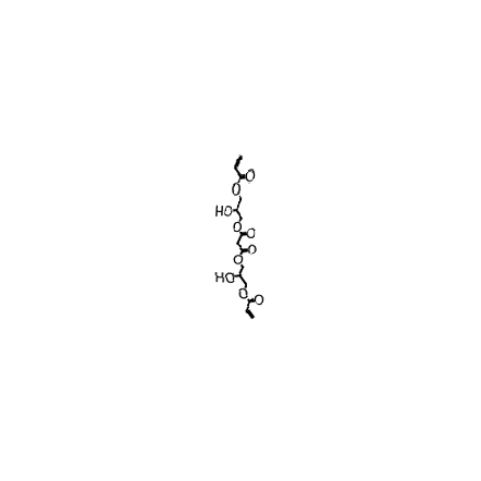 C=CC(=O)OCC(O)COC(=O)CC(=O)OCC(O)COC(=O)C=C